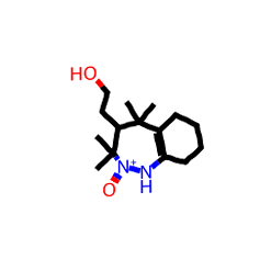 CC1(C)C2=C(CCCC2)N[N+](=O)C(C)(C)C1CCO